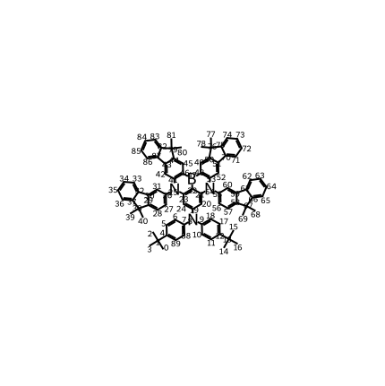 CC(C)(C)c1ccc(N(c2ccc(C(C)(C)C)cc2)c2cc3c4c(c2)N(c2ccc5c(c2)-c2ccccc2C5(C)C)c2cc5c(cc2B4c2cc4c(cc2N3c2ccc3c(c2)-c2ccccc2C3(C)C)-c2ccccc2C4(C)C)C(C)(C)c2ccccc2-5)cc1